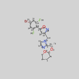 C[C@H](OC1CCCCO1)c1nccn1Cc1cc(-c2c(F)cc(Br)cc2F)on1